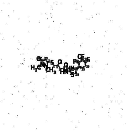 Cn1c(SCC(=O)CC(=O)NC2NC(c3ccc(F)c(C(F)(F)F)c3F)=CS2)cc(=O)n1C